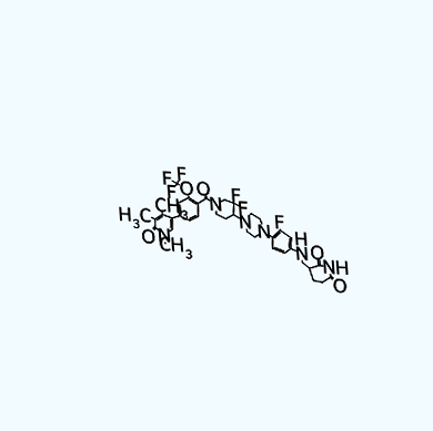 Cc1c(-c2ccc(C(=O)N3CCC(N4CCN(c5ccc(NCC6CCC(=O)NC6=O)cc5F)CC4)C(F)(F)C3)c(OC(F)(F)F)c2)cn(C)c(=O)c1C